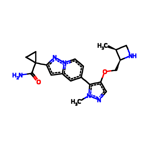 C[C@H]1CN[C@H]1COc1cnn(C)c1-c1ccn2nc(C3(C(N)=O)CC3)cc2c1